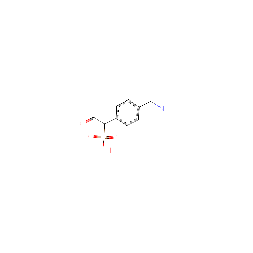 NCc1ccc(C([C]=O)S(=O)(=O)O)cc1